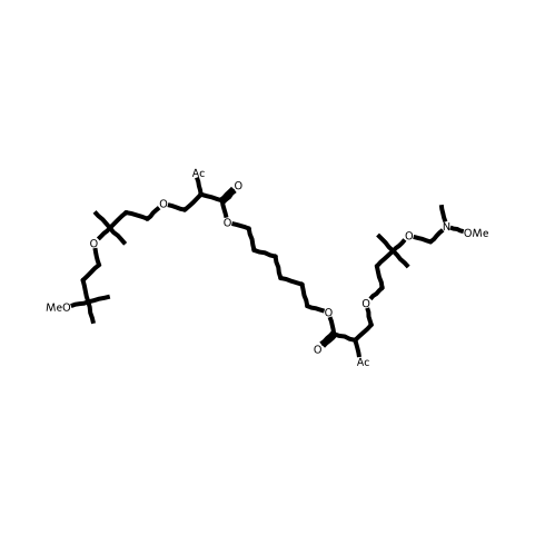 CON(C)COC(C)(C)CCOCC(C(C)=O)C(=O)OCCCCCCOC(=O)C(COCCC(C)(C)OCCC(C)(C)OC)C(C)=O